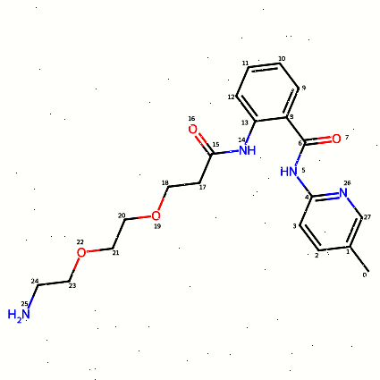 Cc1ccc(NC(=O)c2ccccc2NC(=O)CCOCCOCCN)nc1